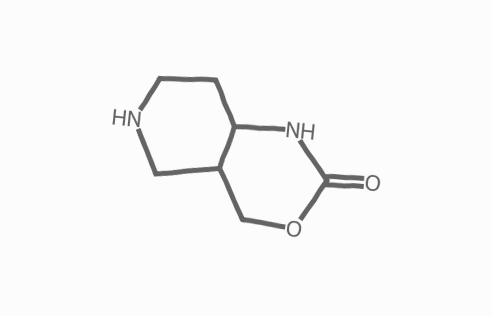 O=C1NC2CCNCC2CO1